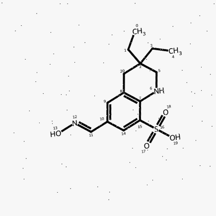 CCC1(CC)CNc2c(cc(C=NO)cc2S(=O)(=O)O)C1